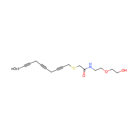 CCCCCCCCC#CCC#CCC#CCSCC(=O)NCCOCCO